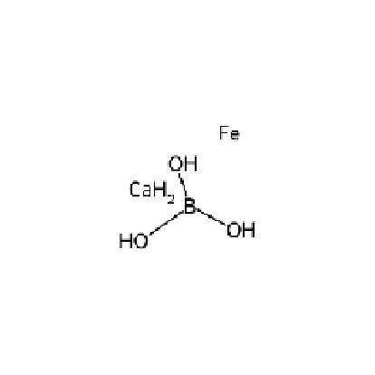 OB(O)O.[CaH2].[Fe]